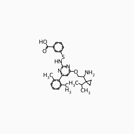 Cc1cccc(C)c1-c1cc(OCC(N)C2(C(C)C)CC2)nc(NSc2cccc(C(=O)O)c2)n1